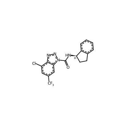 O=C(N[C@@H]1CCc2ccccc21)n1nnc2c(Cl)cc(C(F)(F)F)cc21